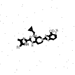 CCc1[nH]c(C(=O)NC2CCN(c3nc4cccc(C(=O)O)c4s3)CC2NCC2CC2)nc1C